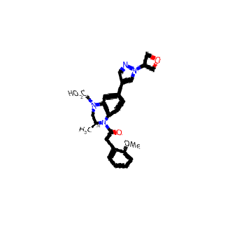 COc1ccccc1CC(=O)N1c2ccc(-c3cnn(C4COC4)c3)cc2N(C(=O)O)C[C@@H]1C